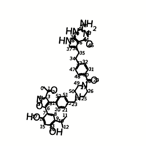 CC(=O)c1noc(-c2cc(C(C)C)c(O)cc2O)c1-c1ccc(CN2CCN(C(=O)c3ccc(CCc4c[nH]c5[nH]c(N)nc(=O)c45)cc3)CC2)cc1